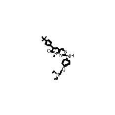 CCN(CC)CCOc1ccc(Nc2ncc3cc(-c4ccc(C(C)(C)C)cc4)c(=O)n(C)c3n2)cc1